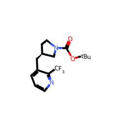 CC(C)(C)OC(=O)N1CC[C@H](Cc2cccnc2C(F)(F)F)C1